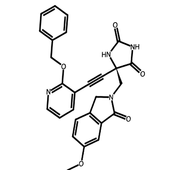 COc1ccc2c(c1)C(=O)N(C[C@@]1(C#Cc3cccnc3OCc3ccccc3)NC(=O)NC1=O)C2